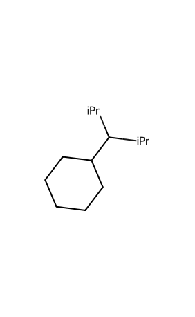 CC(C)C(C(C)C)C1CCCCC1